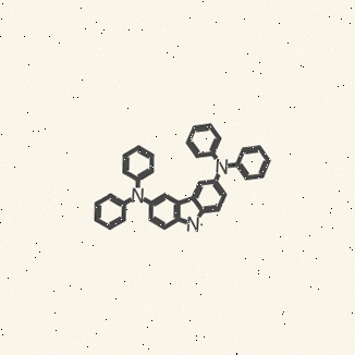 c1ccc(N(c2ccccc2)c2ccc3c(c2)-c2cc(N(c4ccccc4)c4ccccc4)ccc2[N]3)cc1